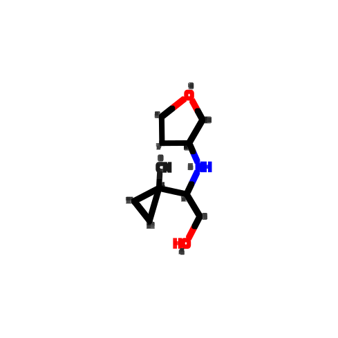 N#CC1(C(CO)NC2CCOC2)CC1